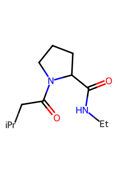 CCNC(=O)C1CCCN1C(=O)CC(C)C